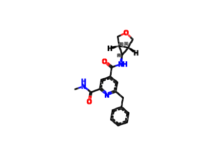 CNC(=O)c1cc(C(=O)N[C@H]2[C@@H]3COC[C@@H]32)cc(Cc2ccccc2)n1